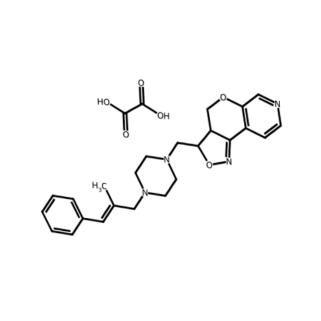 C/C(=C\c1ccccc1)CN1CCN(CC2ON=C3c4ccncc4OCC32)CC1.O=C(O)C(=O)O